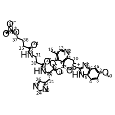 COc1ccc2[nH]c([S+]([O-])Cc3ncc(C)c(OC(=O)[C@H](CC4=NCN=C4)NC(=O)CCNC(=O)CCCO[N+](=O)[O-])c3C)nc2c1